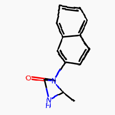 CC1NC(=O)N1c1ccc2ccccc2c1